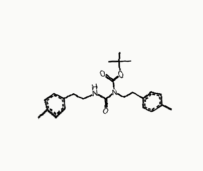 Cc1ccc(CCNC(=O)N(CCc2ccc(C)cc2)C(=O)OC(C)(C)C)cc1